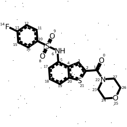 O=C(c1cc2c(NS(=O)(=O)c3ccc(F)cc3)cccc2s1)N1CCOCC1